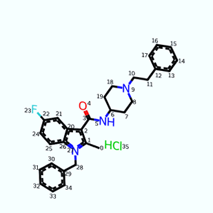 Cc1c(C(=O)NC2CCN(CCc3ccccc3)CC2)c2cc(F)ccc2n1Cc1ccccc1.Cl